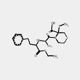 CCOC(=O)C(CCc1ccccc1)NC(C)C(=O)N1CCOCC1(SC)C(=O)O